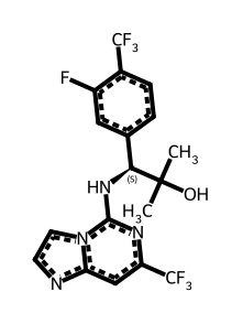 CC(C)(O)[C@@H](Nc1nc(C(F)(F)F)cc2nccn12)c1ccc(C(F)(F)F)c(F)c1